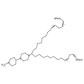 CCCCC/C=C\C/C=C\CCCCCCCCC(CCCCCCCC/C=C\C/C=C\CCCCC)N1CCN(C2CCN(C)CC2)CC1